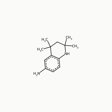 CC1(C)CC(C)(C)c2cc(N)ccc2N1